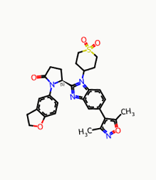 Cc1noc(C)c1-c1ccc2c(c1)nc([C@@H]1CCC(=O)N1c1ccc3c(c1)CCO3)n2C1CCS(=O)(=O)CC1